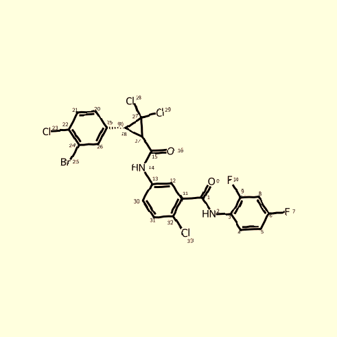 O=C(Nc1ccc(F)cc1F)c1cc(NC(=O)C2[C@H](c3ccc(Cl)c(Br)c3)C2(Cl)Cl)ccc1Cl